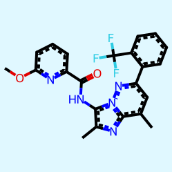 COc1cccc(C(=O)Nc2c(C)nc3c(C)cc(-c4ccccc4C(F)(F)F)nn23)n1